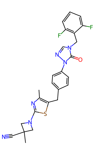 Cc1nc(N2CC(C)(C#N)C2)sc1Cc1ccc(-n2ncn(Cc3c(F)cccc3F)c2=O)cc1